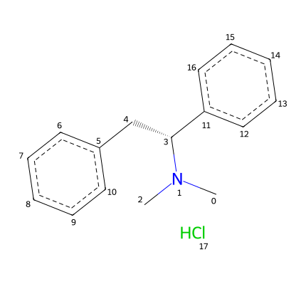 CN(C)[C@H](Cc1ccccc1)c1ccccc1.Cl